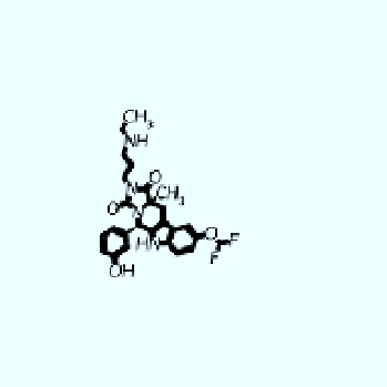 CCNCCCN1C(=O)N2[C@H](c3cccc(O)c3)c3[nH]c4ccc(OC(F)F)cc4c3C[C@@]2(C)C1=O